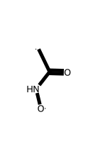 [CH2]C(=O)N[O]